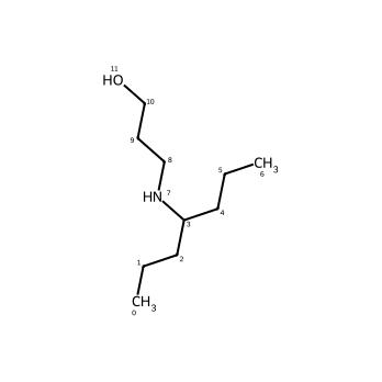 CCCC(CCC)NCCCO